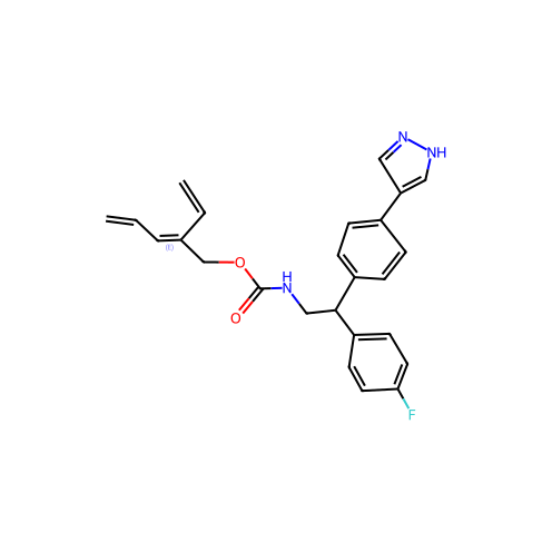 C=C/C=C(\C=C)COC(=O)NCC(c1ccc(F)cc1)c1ccc(-c2cn[nH]c2)cc1